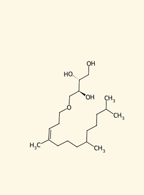 CC(=CCCOC[C@H](O)[C@H](O)CO)CCCC(C)CCCC(C)C